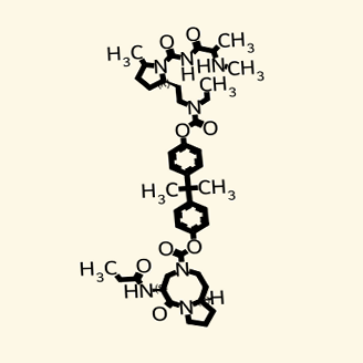 CCC(=O)N[C@H]1CN(C(=O)Oc2ccc(C(C)(C)c3ccc(OC(=O)N(CC)CC[C@H]4CCC(C)N4C(=O)NC(=O)C(C)NC)cc3)cc2)CC[C@H]2CCCN2C1=O